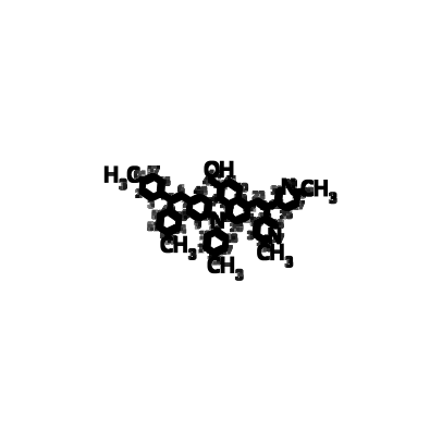 Cc1ccc(C(=Cc2ccc(N(c3ccc(C)cc3)c3ccc(C=C(c4ccc(C)nc4)c4ccc(C)nc4)c4ccc(CO)cc34)cc2)c2ccc(C)cc2)cc1